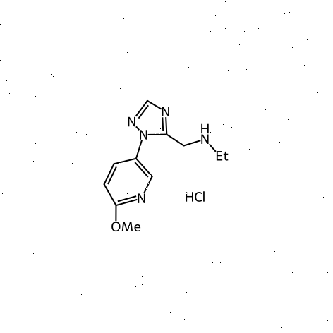 CCNCc1ncnn1-c1ccc(OC)nc1.Cl